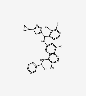 CCC(Nc1c(C#N)cnc2c(Cl)cc(NC(c3cn(C4CC4)nn3)c3cccc(Cl)c3Cl)cc12)c1ccccc1